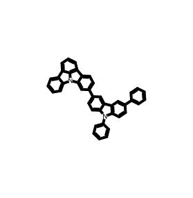 c1ccc(-c2ccc3c(c2)c2cc(-c4ccc5c6cccc7c8ccccc8n(c5c4)c76)ccc2n3-c2ccccc2)cc1